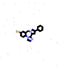 Brc1ccc2c(c1)Cn1cc(-c3ccccc3)cc1-c1nccn1-2